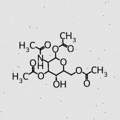 CC(=O)NC1C(OC(C)=O)OC(COC(C)=O)[C@@H](O)C1OC(C)=O